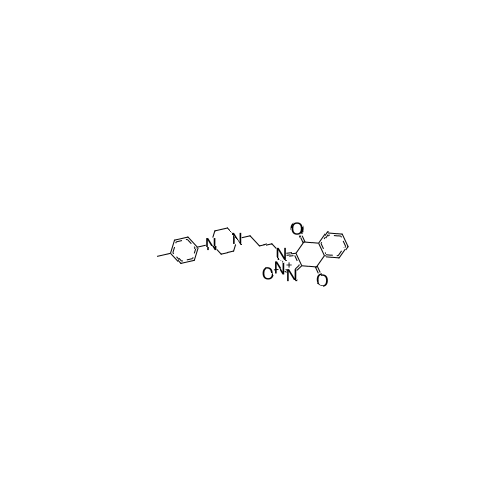 Cc1ccc(N2CCN(CCCn3c4c(n[n+]3[O-])C(=O)c3ccccc3C4=O)CC2)cc1